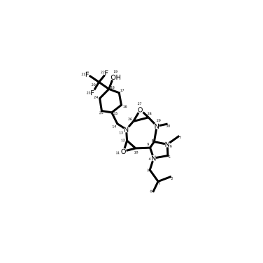 CC(C)CN1CN(C)C2C1C1OC1N(CC1CCC(O)(C(F)(F)F)CC1)C1OC1N2C